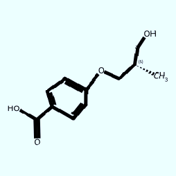 C[C@@H](CO)COc1ccc(C(=O)O)cc1